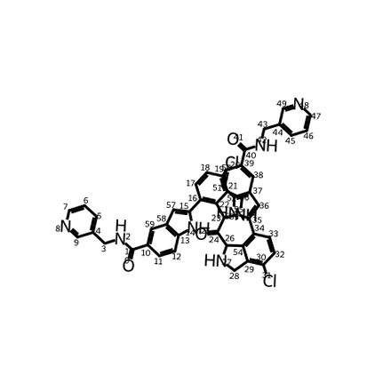 O=C(NCc1cccnc1)c1ccc2[nH]c(-c3ccc(Cl)c4c3C(C(=O)C3NCc5c(Cl)ccc(-c6cc7cc(C(=O)NCc8cccnc8)ccc7[nH]6)c53)NC4)cc2c1